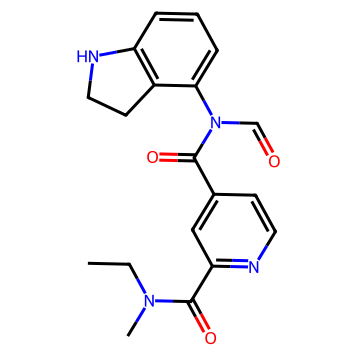 CCN(C)C(=O)c1cc(C(=O)N(C=O)c2cccc3c2CCN3)ccn1